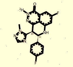 [2H]n1nc2c3c(cc(F)cc3c1=O)N[C@H](c1ccc(F)cc1)[C@H]2c1ncnn1C